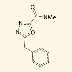 CNC(=O)c1nnc(Cc2ccccc2)o1